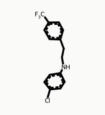 FC(F)(F)c1ccc(CCNc2ccc(Cl)cc2)cc1